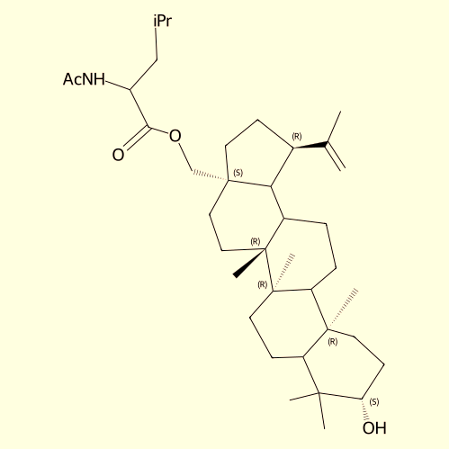 C=C(C)[C@@H]1CC[C@]2(COC(=O)C(CC(C)C)NC(C)=O)CC[C@]3(C)C(CCC4[C@@]5(C)CC[C@H](O)C(C)(C)C5CC[C@]43C)C12